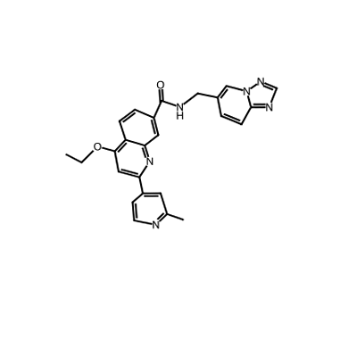 CCOc1cc(-c2ccnc(C)c2)nc2cc(C(=O)NCc3ccc4ncnn4c3)ccc12